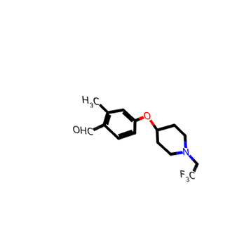 Cc1cc(OC2CCN(CC(F)(F)F)CC2)ccc1C=O